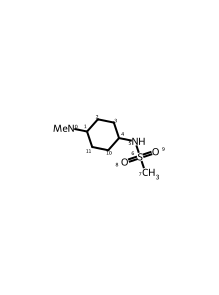 CNC1CCC(NS(C)(=O)=O)CC1